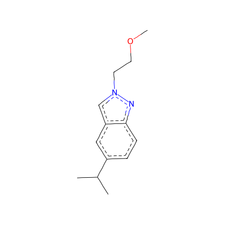 COCCn1cc2cc(C(C)C)ccc2n1